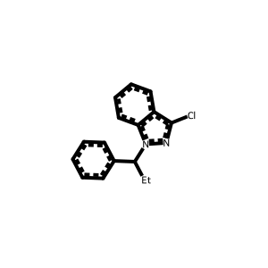 [CH2]CC(c1ccccc1)n1nc(Cl)c2ccccc21